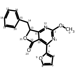 COc1nc(-c2ccco2)c2c(n1)C(Cc1ccccc1)OC2=O